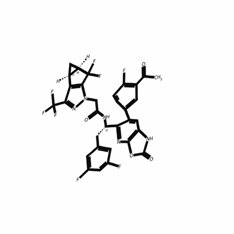 CC(=O)c1cc(-c2cc3[nH]c(=O)oc3nc2[C@H](Cc2cc(F)cc(F)c2)NC(=O)Cn2nc(C(F)(F)F)c3c2C(F)(F)[C@@H]2C[C@H]32)ccc1F